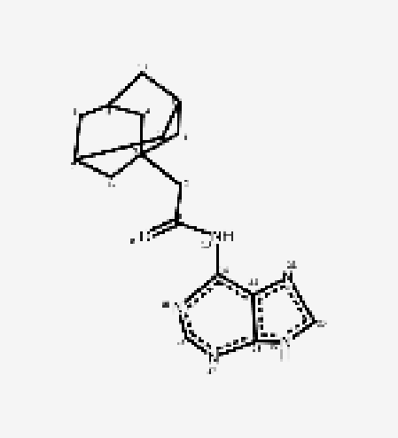 O=C(CC12CC3CC(CC(C3)C1)C2)Nc1ncnc2[nH]cnc12